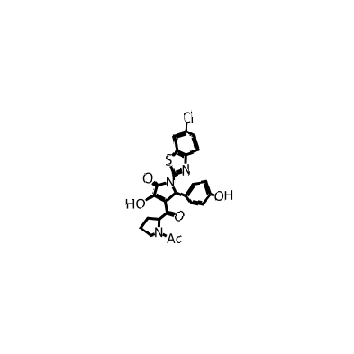 CC(=O)N1CCCC1C(=O)C1=C(O)C(=O)N(c2nc3ccc(Cl)cc3s2)C1c1ccc(O)cc1